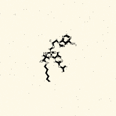 CCCCCCOC(=O)C(C)(C)N[P@@](=O)(CO[C@H](C)Cn1cnc2c(N)ncnc21)N[C@@H](CC(=O)OC(C)C)C(C)C